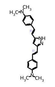 CN(C)c1ccc(/C=C/c2cc(/C=C/c3ccc(N(C)C)cc3)[nH]n2)cc1